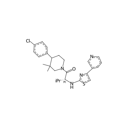 CC(C)[C@@H](Nc1nc(-c2cccnc2)cs1)C(=O)N1CCC(c2ccc(Cl)cc2)C(C)(C)C1